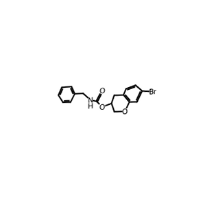 O=C(NCc1ccccc1)OC1COc2cc(Br)ccc2C1